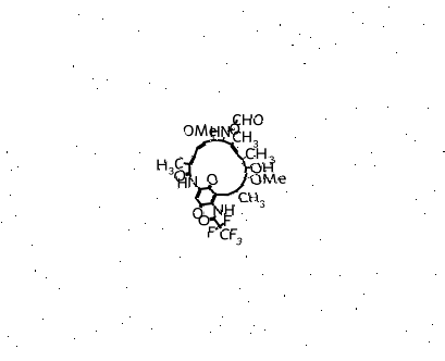 CO[C@H]1/C=C\C=C(/C)C(=O)NC2=CC(=O)C(NC(=O)C(F)(F)C(F)(F)F)=C(C[C@@H](C)C[C@H](OC)[C@H](O)[C@@H](C)/C=C(\C)[C@@H]1NOC=O)C2=O